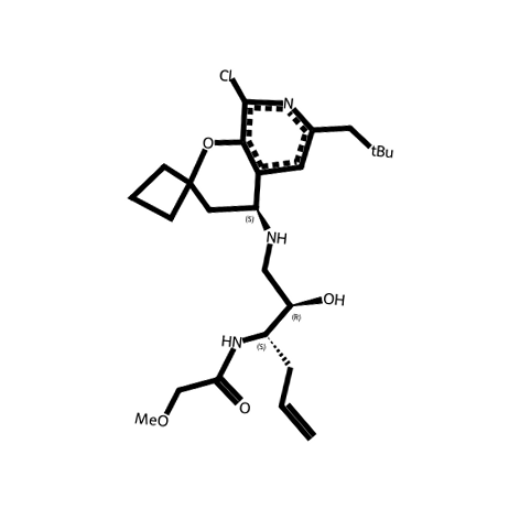 C=CC[C@H](NC(=O)COC)[C@H](O)CN[C@H]1CC2(CCC2)Oc2c1cc(CC(C)(C)C)nc2Cl